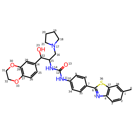 Cc1ccc2nc(-c3ccc(NC(=O)NC(CN4CCCC4)C(O)c4ccc5c(c4)OCCO5)cc3)sc2c1